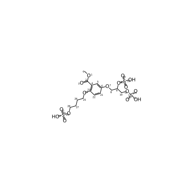 COC(=O)c1cc(OCC(COS(=O)(=O)O)OS(=O)(=O)O)ccc1OCCCCOS(=O)(=O)O